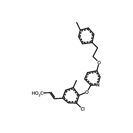 Cc1ccc(CCOc2ccc(Oc3c(C)cc(C=CC(=O)O)cc3Cl)nc2)cc1